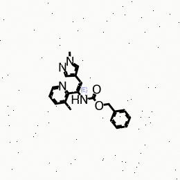 Cc1cccnc1/C(=C\c1cnn(C)c1)NC(=O)OCc1ccccc1